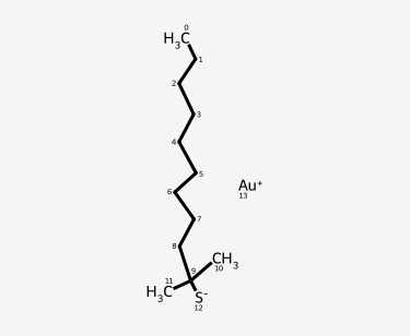 CCCCCCCCCC(C)(C)[S-].[Au+]